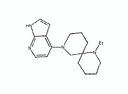 CCN1CCCCC12CCCN(c1ccnc3[nH]ccc13)C2